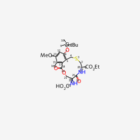 CCOC(=O)[C@@H]1CSCc2c(O[Si](C)(C)C(C)(C)C)cc(OC)c(C)c2C(=O)OC[C@H](NC(=O)O)C(=O)N1